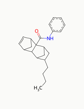 CCCCC1CC2CC1C1C3C=CC(C3)C21C(=O)Nc1ccccc1